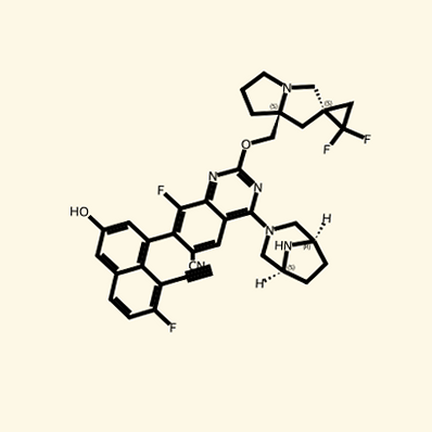 C#Cc1c(F)ccc2cc(O)cc(-c3c(C#N)cc4c(N5C[C@H]6CC[C@@H](C5)N6)nc(OC[C@@]56CCCN5C[C@@]5(CC5(F)F)C6)nc4c3F)c12